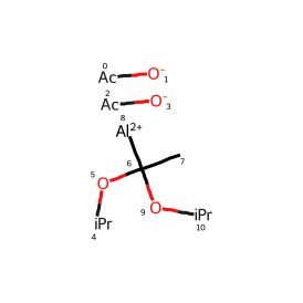 CC(=O)[O-].CC(=O)[O-].CC(C)O[C](C)([Al+2])OC(C)C